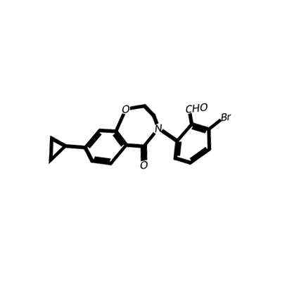 O=Cc1c(Br)cccc1N1CCOc2cc(C3CC3)ccc2C1=O